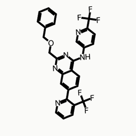 FC(F)(F)c1ccc(Nc2nc(COCc3ccccc3)nc3cc(-c4ncccc4C(F)(F)F)ccc23)cn1